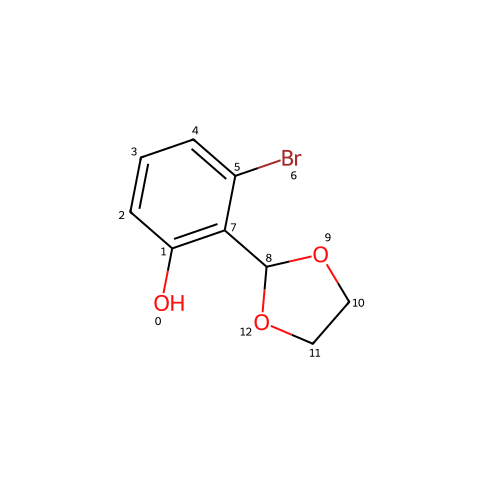 Oc1cccc(Br)c1C1OCCO1